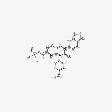 COc1ccc(-c2c(=O)n(-c3ccc4nccn4c3)cc3cnc(NCC(F)(F)F)nc23)cc1